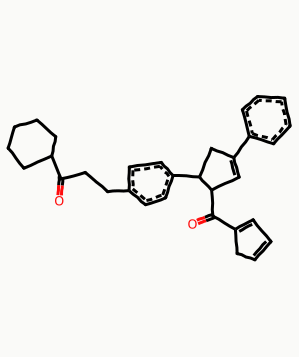 O=C(CCc1ccc(C2CC(c3ccccc3)=CC2C(=O)C2=CC=CC2)cc1)C1CCCCC1